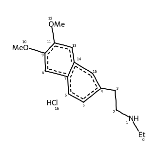 CCNCCc1ccc2cc(OC)c(OC)cc2c1.Cl